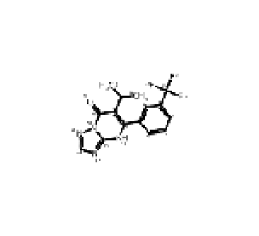 CC(C)c1c(-c2cccc(C(F)(F)F)c2)[nH]c2ncnn2c1=O